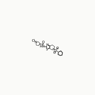 O=C(Nc1nc2c(s1)CN(S(=O)(=O)c1ccccc1)CC2)[C@H]1CCN(Cl)C1